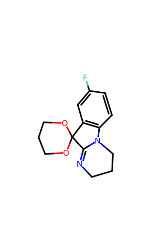 Fc1ccc2c(c1)C1(OCCCO1)C1=NCCCN12